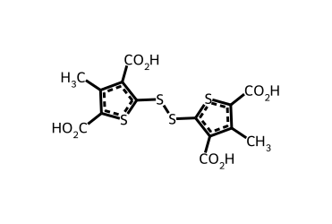 Cc1c(C(=O)O)sc(SSc2sc(C(=O)O)c(C)c2C(=O)O)c1C(=O)O